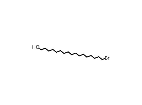 OCCCCCCCCCCCCCCCCCBr